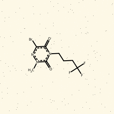 Cn1nc(Br)c(=O)n(CCCC(F)(F)F)c1=O